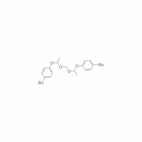 CCC(C)c1ccc(OC(C)OCOC(C)Oc2ccc(C(C)CC)cc2)cc1